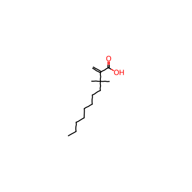 C=C(C(=O)O)C(C)(C)CCCCCCCC